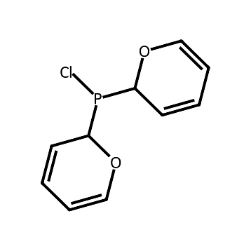 ClP(C1C=CC=CO1)C1C=CC=CO1